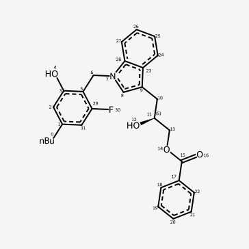 CCCCc1cc(O)c(Cn2cc(C[C@H](O)COC(=O)c3ccccc3)c3ccccc32)c(F)c1